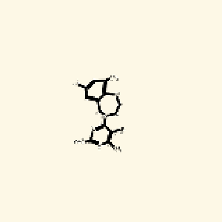 Cc1cc(Br)cc2c1OCCN(c1nc(C=O)nc(C)c1C(C)C)C2